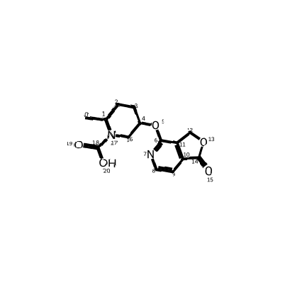 CC1CCC(Oc2nccc3c2COC3=O)CN1C(=O)O